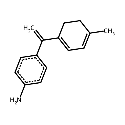 C=C(C1=CC=C(C)CC1)c1ccc(N)cc1